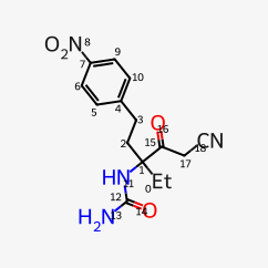 CCC(CCc1ccc([N+](=O)[O-])cc1)(NC(N)=O)C(=O)CC#N